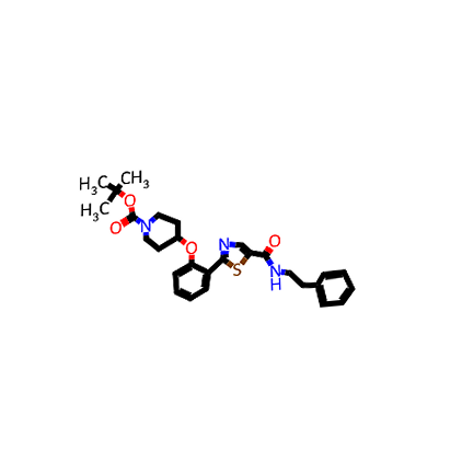 CC(C)(C)OC(=O)N1CCC(Oc2ccccc2-c2ncc(C(=O)NCCc3ccccc3)s2)CC1